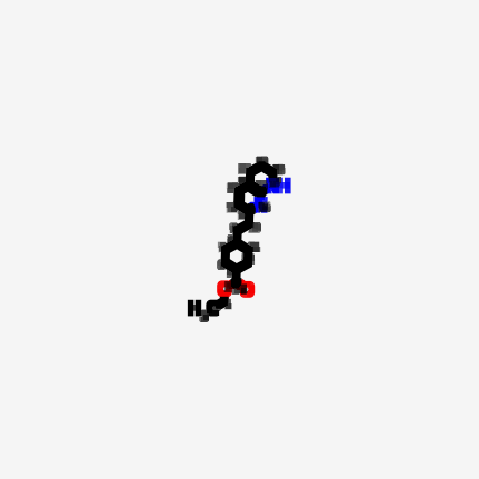 CCOC(=O)C1CCC(CCc2ccc3c(n2)NCCC3)CC1